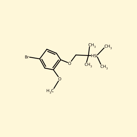 COc1cc(Br)ccc1OCC(C)(C)[SiH](C)C